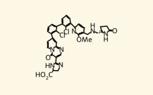 COc1nc(-c2cccc(-c3cccc(-c4ccn5c(=O)c(C6=NCC(C(=O)O)N6)cnc5c4)c3Cl)c2Cl)ccc1CNC[C@@H]1CCC(=O)N1